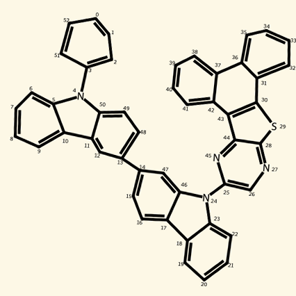 c1ccc(-n2c3ccccc3c3cc(-c4ccc5c6ccccc6n(-c6cnc7sc8c9ccccc9c9ccccc9c8c7n6)c5c4)ccc32)cc1